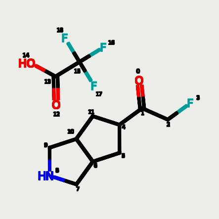 O=C(CF)C1CC2CNCC2C1.O=C(O)C(F)(F)F